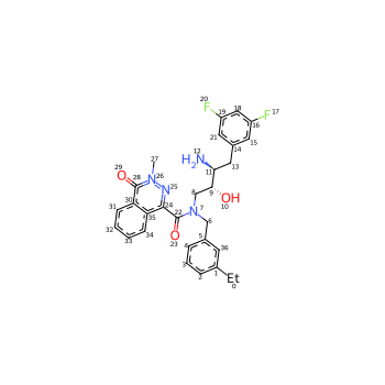 CCc1cccc(CN(C[C@@H](O)[C@@H](N)Cc2cc(F)cc(F)c2)C(=O)c2nn(C)c(=O)c3ccccc23)c1